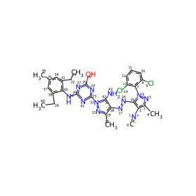 [C-]#[N+]c1c(C)nn(-c2c(Cl)cccc2Cl)c1/N=N/c1c(C)nn(-c2nc(O)nc(Nc3c(CC)cc(C)cc3CC)n2)c1N